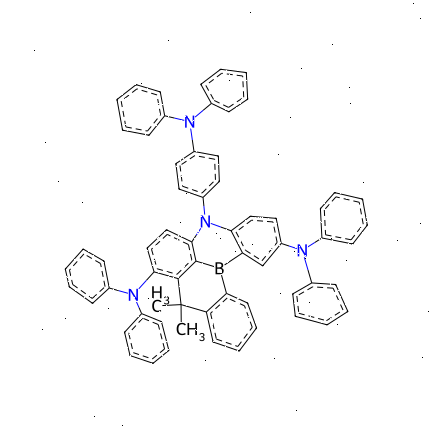 CC1(C)c2ccccc2B2c3cc(N(c4ccccc4)c4ccccc4)ccc3N(c3ccc(N(c4ccccc4)c4ccccc4)cc3)c3ccc(N(c4ccccc4)c4ccccc4)c1c32